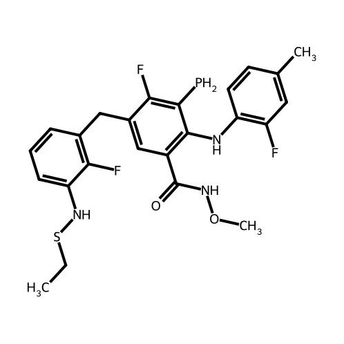 CCSNc1cccc(Cc2cc(C(=O)NOC)c(Nc3ccc(C)cc3F)c(P)c2F)c1F